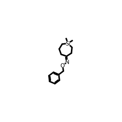 C[Si]1(C)CCC/C(=N\OCc2ccccc2)CC1